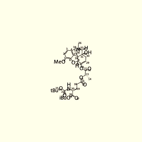 COc1ccc2c3c1O[C@H]1C(OC(=O)[C@H](C)OC(=O)CC[C@H](NC(=O)OC(C)(C)C)C(=O)OCC(C)C)=CC[C@@]4(O)[C@@H](C2)N(C)CC[C@]314